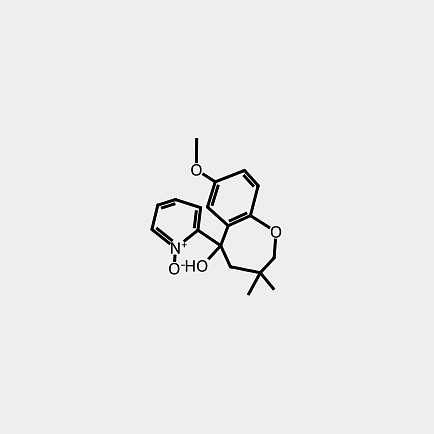 COc1ccc2c(c1)C(O)(c1cccc[n+]1[O-])CC(C)(C)CO2